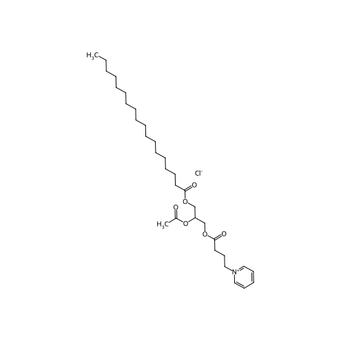 CCCCCCCCCCCCCCCCCC(=O)OCC(COC(=O)CCC[n+]1ccccc1)OC(C)=O.[Cl-]